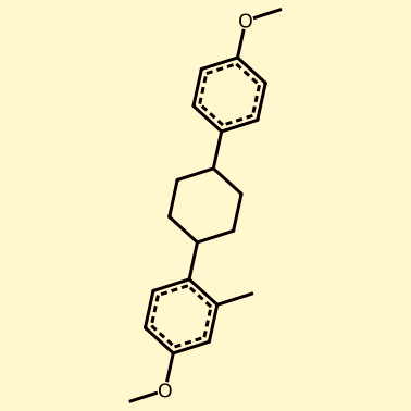 COc1ccc(C2CCC(c3ccc(OC)cc3C)CC2)cc1